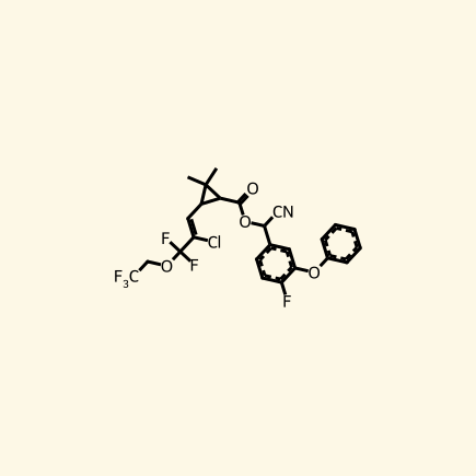 CC1(C)C(C=C(Cl)C(F)(F)OCC(F)(F)F)C1C(=O)OC(C#N)c1ccc(F)c(Oc2ccccc2)c1